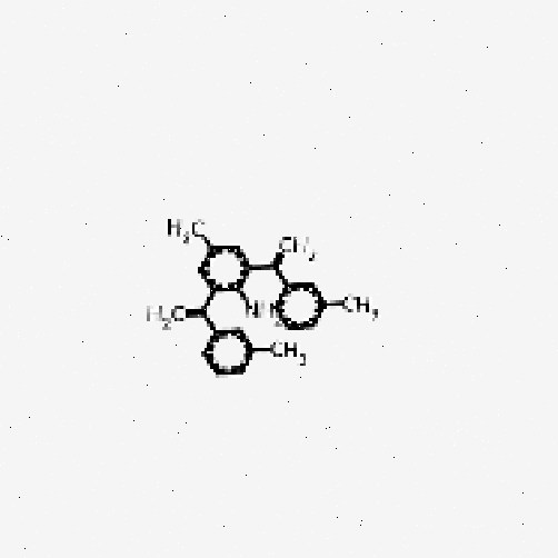 C=C(c1cccc(C)c1)c1cc(C)cc(C(=C)c2cccc(C)c2)c1N